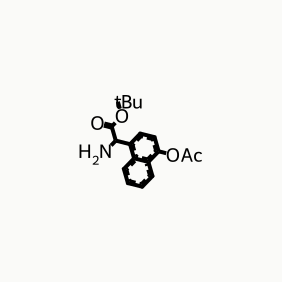 CC(=O)Oc1ccc(C(N)C(=O)OC(C)(C)C)c2ccccc12